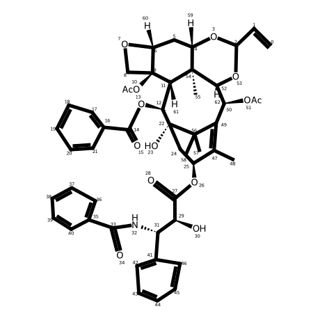 C=CC1O[C@H]2C[C@H]3OC[C@@]3(OC(C)=O)[C@H]3[C@H](OC(=O)c4ccccc4)[C@]4(O)C[C@H](OC(=O)[C@@H](O)[C@@H](NC(=O)c5ccccc5)c5ccccc5)C(C)=C([C@H](OC(C)=O)[C@H](O1)[C@]23C)C4(C)C